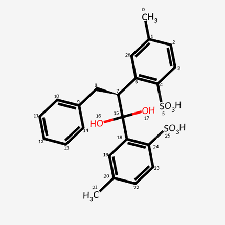 Cc1ccc(S(=O)(=O)O)c([C@H](Cc2ccccc2)C(O)(O)c2cc(C)ccc2S(=O)(=O)O)c1